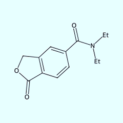 CCN(CC)C(=O)c1ccc2c(c1)COC2=O